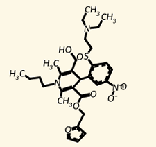 CCCCN1C(C)=C(C(=O)O)C(c2cc([N+](=O)[O-])ccc2SCCN(CC)CC)C(C(=O)OCc2ccco2)=C1C